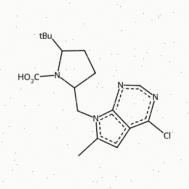 Cc1cc2c(Cl)ncnc2n1CC1CCC(C(C)(C)C)N1C(=O)O